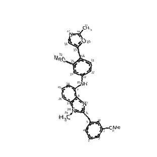 COc1cccc(-c2nc3c(Nc4ccc(-c5cnc(C)o5)c(OC)c4)cccc3n2C)c1